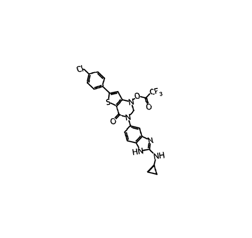 O=C1c2sc(-c3ccc(Cl)cc3)cc2N(OC(=O)C(F)(F)F)CN1c1ccc2[nH]c(NC3CC3)nc2c1